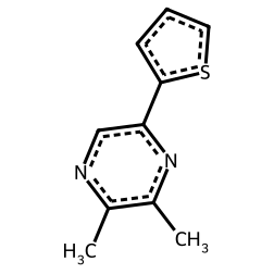 Cc1ncc(-c2cccs2)nc1C